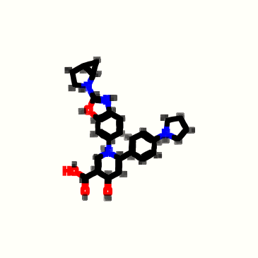 O=C(O)c1cn(-c2ccc3nc(N4CCC5CC54)oc3c2)c(-c2ccc(N3CCCC3)cc2)cc1=O